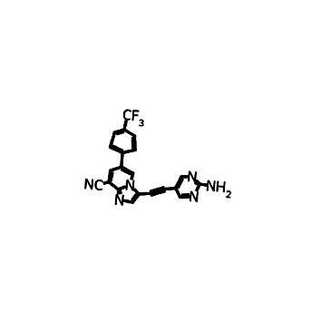 N#Cc1cc(-c2ccc(C(F)(F)F)cc2)cn2c(C#Cc3cnc(N)nc3)cnc12